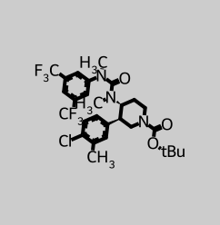 Cc1cc([C@@H]2CN(C(=O)OC(C)(C)C)CC[C@H]2N(C)C(=O)N(C)c2cc(C(F)(F)F)cc(C(F)(F)F)c2)ccc1Cl